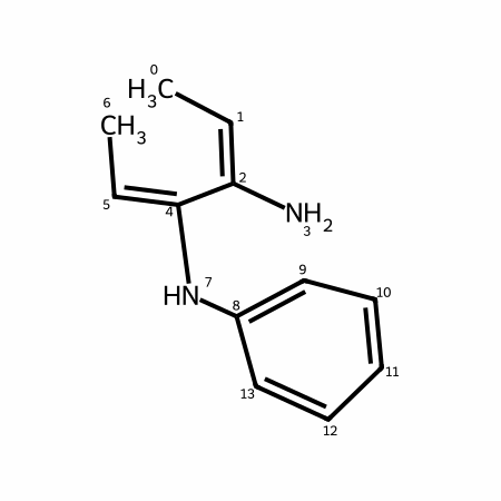 C/C=C(N)\C(=C/C)Nc1ccccc1